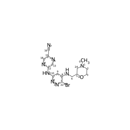 CN1CCOC(CNc2cc(Nc3cnc(C#N)cn3)nnc2Br)C1